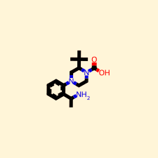 CC(N)c1ccccc1N1CCN(C(=O)O)C(C(C)(C)C)C1